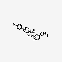 Cc1ccnc(NC(=S)N2CCN(c3ccc(F)cc3)CC2)c1